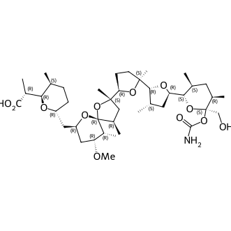 CO[C@@H]1C[C@@H](C[C@H]2CC[C@H](C)[C@H]([C@@H](C)C(=O)O)O2)O[C@]2(O[C@](C)([C@H]3CC[C@@](C)([C@@H]4O[C@@H]([C@H]5O[C@](CO)(OC(N)=O)[C@H](C)C[C@@H]5C)C[C@@H]4C)O3)C[C@H]2C)[C@@H]1C